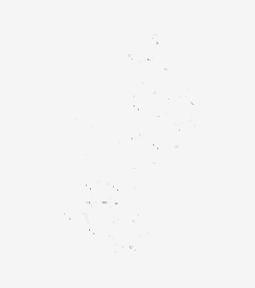 CCN(C)CC(=O)N(CCCn1c(CCOC)nc2c(N)nc3ccccc3c21)Cc1cccc(OCC(=O)O)c1